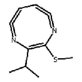 CS/C1=C(\C(C)C)N=C=CC=C=N1